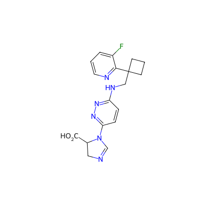 O=C(O)C1CN=CN1c1ccc(NCC2(c3ncccc3F)CCC2)nn1